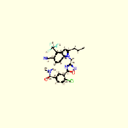 CCCc1cc2c(C(F)(F)F)c(C#N)ccc2n1Cc1noc(-c2cc(C(=O)N(C)C)ccc2Cl)n1